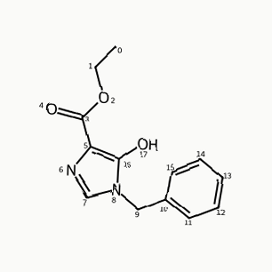 CCOC(=O)c1ncn(Cc2ccccc2)c1O